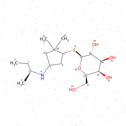 CC[C@H](C)NC1CC(S[C@@H]2O[C@H](CO)[C@H](O)[C@H](O)[C@H]2O)C(C)(C)C1